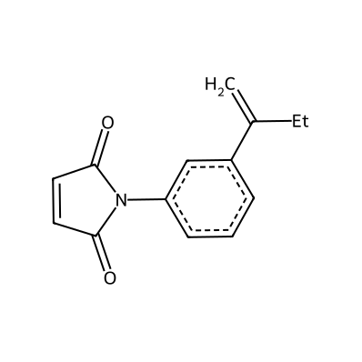 C=C(CC)c1cccc(N2C(=O)C=CC2=O)c1